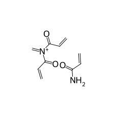 C=CC(=O)[N+](=C)C(=O)C=C.C=CC(N)=O